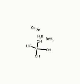 B.O[Si](O)(O)O.[BeH2].[Ce].[Zn]